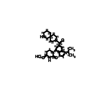 CC(C)n1ccc2c(N3CCC(=O)NC3=O)cc(C(=O)N3CCC4(CCCNC4)CC3)cc21.Cl